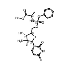 CC(C)OC(=O)[C@@H](C)N[P@@](=O)(OC[C@H]1O[C@@H](n2ccc(=O)[nH]c2=O)[C@](C)(N)[C@@H]1O)Oc1ccccc1